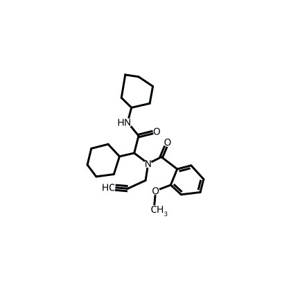 C#CCN(C(=O)c1ccccc1OC)C(C(=O)NC1CCCCC1)C1CCCCC1